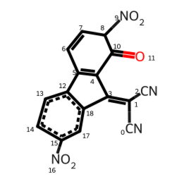 N#CC(C#N)=C1C2=C(C=CC([N+](=O)[O-])C2=O)c2ccc([N+](=O)[O-])cc21